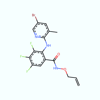 C=CCONC(=O)c1cc(F)c(F)c(F)c1Nc1ncc(Br)cc1C